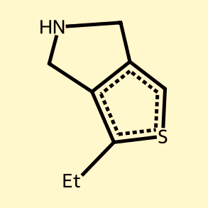 CCc1scc2c1CNC2